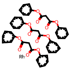 O=C(CC(=O)Oc1ccccc1)Oc1ccccc1.O=C(CC(=O)Oc1ccccc1)Oc1ccccc1.O=C(CC(=O)Oc1ccccc1)Oc1ccccc1.[Rh]